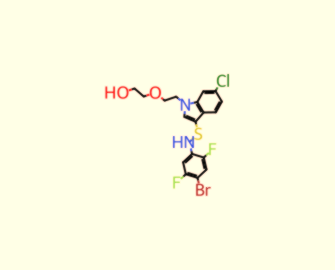 OCCOCCn1cc(SNc2cc(F)c(Br)cc2F)c2ccc(Cl)cc21